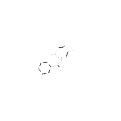 CCOC(=O)C1=CC2Oc3ccc(Cl)cc3C(=O)N2C=C1Cl